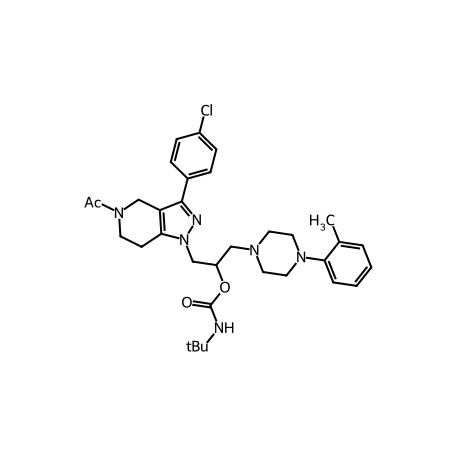 CC(=O)N1CCc2c(c(-c3ccc(Cl)cc3)nn2CC(CN2CCN(c3ccccc3C)CC2)OC(=O)NC(C)(C)C)C1